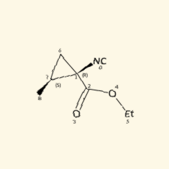 [C-]#[N+][C@]1(C(=O)OCC)C[C@@H]1C